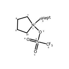 CCCCCCC[N+]1(OS(=O)(=O)C(F)(F)F)CCCC1